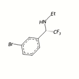 CCN[C@@H](c1cccc(Br)c1)C(F)(F)F